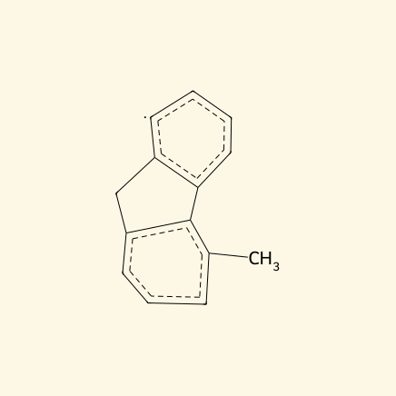 Cc1cccc2c1-c1ccc[c]c1C2